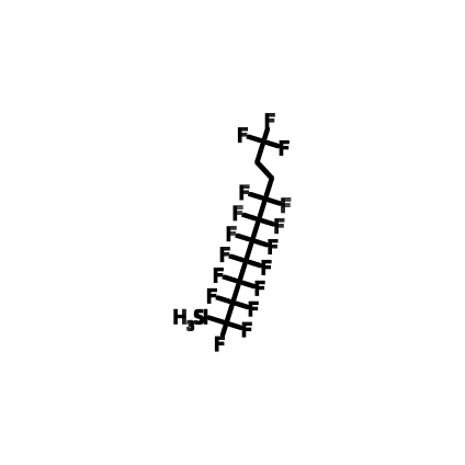 FC(F)(F)CCC(F)(F)C(F)(F)C(F)(F)C(F)(F)C(F)(F)C(F)(F)C(F)(F)[SiH3]